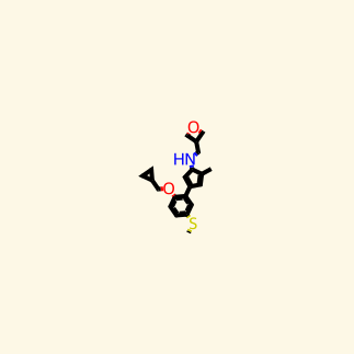 CSc1ccc(OCC2CC2)c(C2=CC(NCC3COC3)C(C)=C2)c1